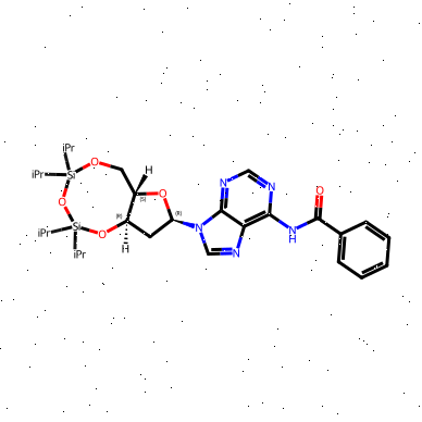 CC(C)[Si]1(C(C)C)OC[C@@H]2O[C@@H](n3cnc4c(NC(=O)c5ccccc5)ncnc43)C[C@H]2O[Si](C(C)C)(C(C)C)O1